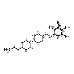 CCC[C@H]1CC[C@H](C2CCC(COc3cc(F)c(F)c(F)c3F)CC2)CC1